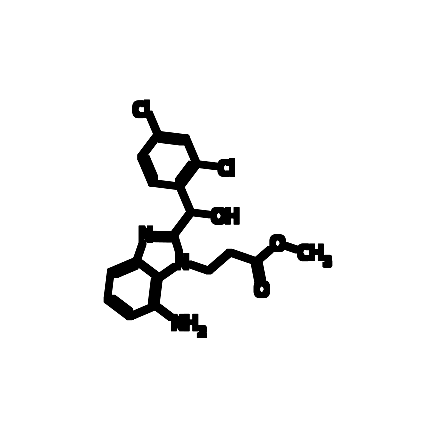 COC(=O)CCn1c(C(O)c2ccc(Cl)cc2Cl)nc2cccc(N)c21